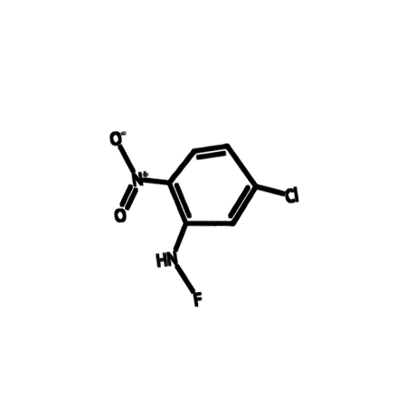 O=[N+]([O-])c1ccc(Cl)cc1NF